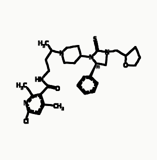 Cc1cc(Cl)nc(C)c1C(=O)NCCC(C)N1CCC(N2C(=S)N(CC3CCCO3)C[C@H]2c2ccccc2)CC1